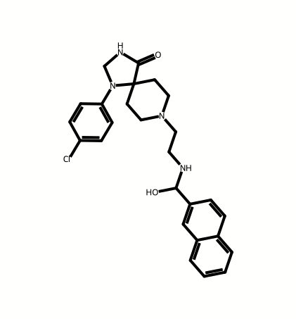 O=C1NCN(c2ccc(Cl)cc2)C12CCN(CCNC(O)c1ccc3ccccc3c1)CC2